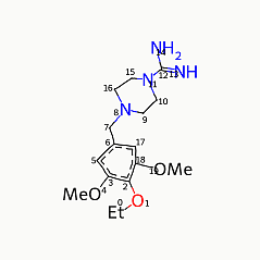 CCOc1c(OC)cc(CN2CCN(C(=N)N)CC2)cc1OC